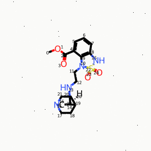 COC(=O)c1cccc2c1N(CCN[C@@H]1CN3CCC1CC3)S(=O)(=O)N2